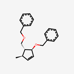 C[C@@H]1C=C[C@H](OCc2ccccc2)[C@H]1COCc1ccccc1